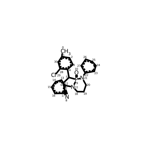 Cc1ccc(C(CC#N)P2(=O)N(c3ccccc3)CCCN2c2ccccc2)c(Cl)c1